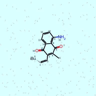 CC[C@@H](C)/C=C\C1=C(C)C(=O)c2c(N)cccc2C1=O